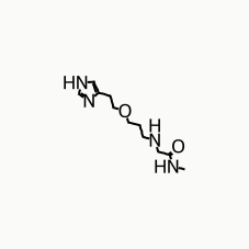 CNC(=O)CNCCCOCCc1c[nH]cn1